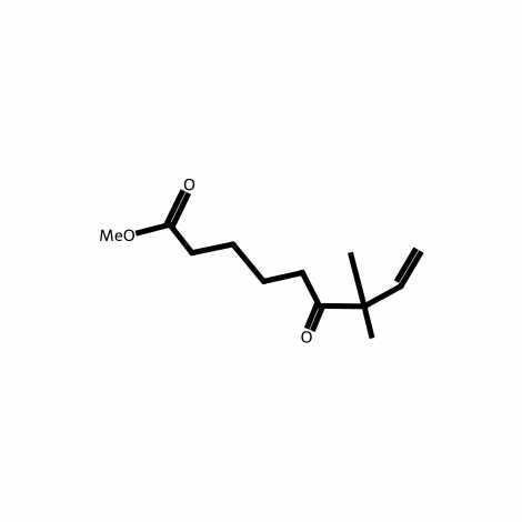 C=CC(C)(C)C(=O)CCCCC(=O)OC